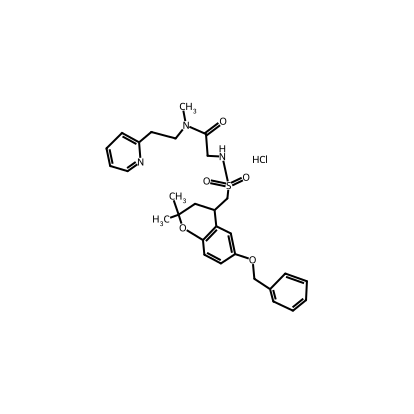 CN(CCc1ccccn1)C(=O)CNS(=O)(=O)CC1CC(C)(C)Oc2ccc(OCc3ccccc3)cc21.Cl